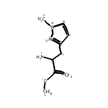 COC(=O)C(N)Cc1ccn(C)n1